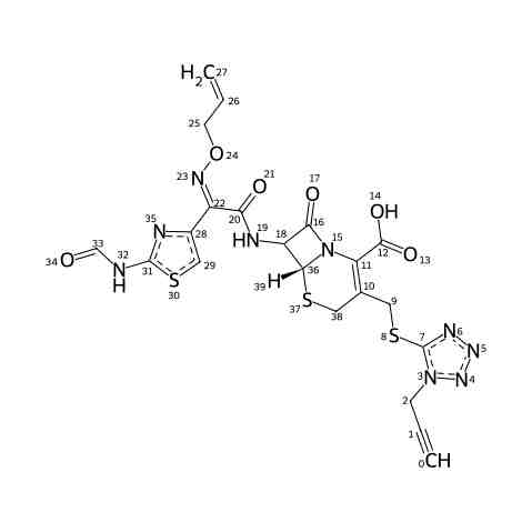 C#CCn1nnnc1SCC1=C(C(=O)O)N2C(=O)C(NC(=O)/C(=N\OCC=C)c3csc(NC=O)n3)[C@H]2SC1